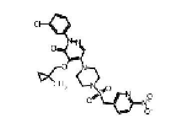 CC1(COc2c(N3CCN(S(=O)(=O)Cc4ccc([N+](=O)[O-])nc4)CC3)cnn(-c3cccc(Cl)c3)c2=O)CC1